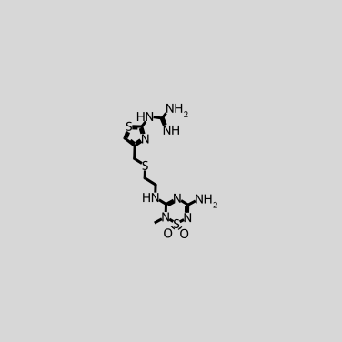 CN1C(NCCSCc2csc(NC(=N)N)n2)=NC(N)=NS1(=O)=O